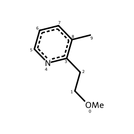 COCCc1ncccc1C